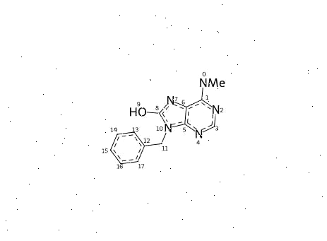 CNc1ncnc2c1nc(O)n2Cc1ccccc1